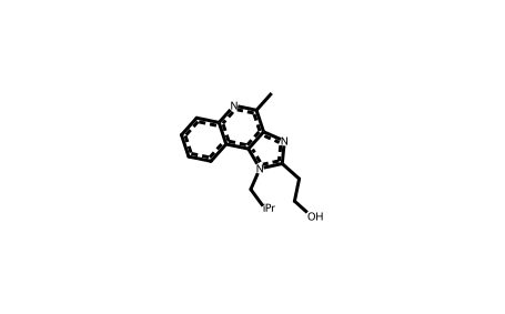 Cc1nc2ccccc2c2c1nc(CCO)n2CC(C)C